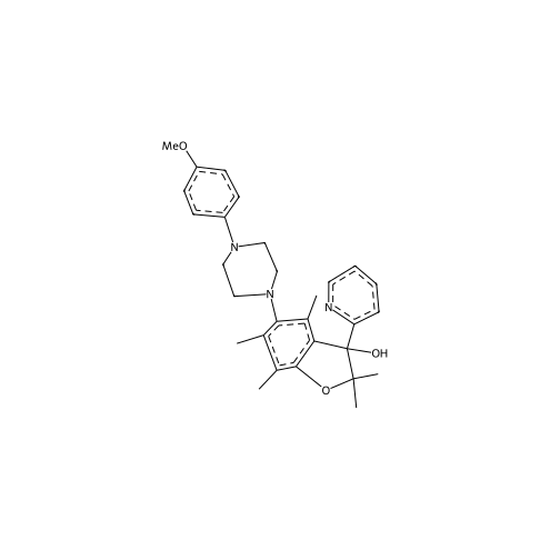 COc1ccc(N2CCN(c3c(C)c(C)c4c(c3C)C(O)(c3ccccn3)C(C)(C)O4)CC2)cc1